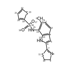 Cc1ccc2cc(C3=NCCS3)[nH]c2c1NS(=O)(=O)c1cccs1